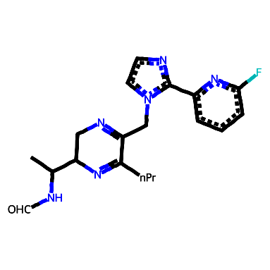 CCCC1=NC(C(C)NC=O)CN=C1Cn1ccnc1-c1cccc(F)n1